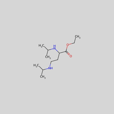 CCOC(=O)C(CCNC(C)C)NC(C)C